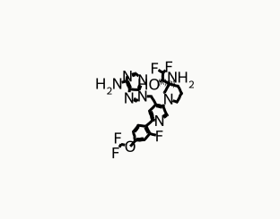 Nc1ncnc2c1ncn2Cc1cc(-c2ccc(OC(F)F)cc2F)ncc1N1CCC[C@](N)([C@@H](O)C(F)F)C1